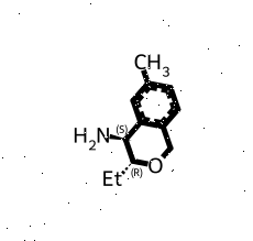 CC[C@H]1OCc2ccc(C)cc2[C@@H]1N